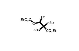 CCCCC(CCCC)(C(=O)OCC)C(CC)OC(=O)OCC